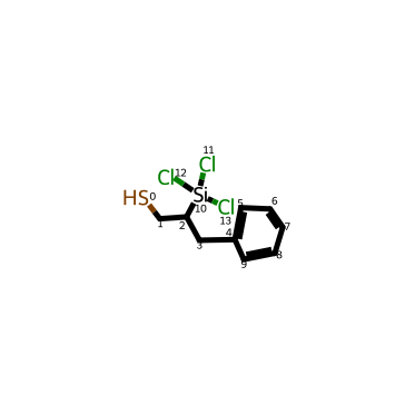 SCC(Cc1ccccc1)[Si](Cl)(Cl)Cl